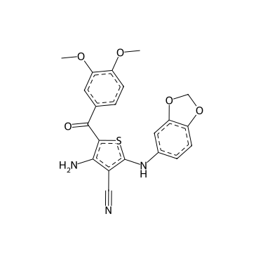 COc1ccc(C(=O)c2sc(Nc3ccc4c(c3)OCO4)c(C#N)c2N)cc1OC